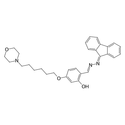 Oc1cc(OCCCCCCN2CCOCC2)ccc1C=NN=C1c2ccccc2-c2ccccc21